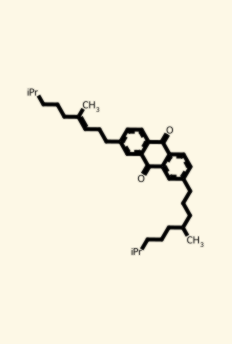 C/C(=C\CCc1ccc2c(c1)C(=O)c1cc(CCCC(C)CCCC(C)C)ccc1C2=O)CCCC(C)C